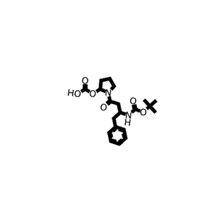 CC(C)(C)OC(=O)NC(CC(=O)N1CCCC1OC(=O)O)Cc1ccccc1